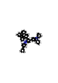 C1=CCC(C2(c3ccccc3)c3ccccc3-c3ccc(N(c4ccc(-c5ccccc5)cc4)c4ccc(-c5ccc6c(c5)C5C=CC=CC5N6c5ccccc5)cc4)cc32)C=C1